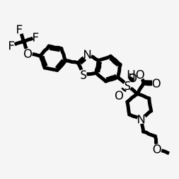 COCCN1CCC(C(=O)O)(S(=O)(=O)c2ccc3nc(-c4ccc(OC(F)(F)F)cc4)sc3c2)CC1